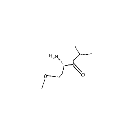 COC[C@H](N)C(=O)C(C)C